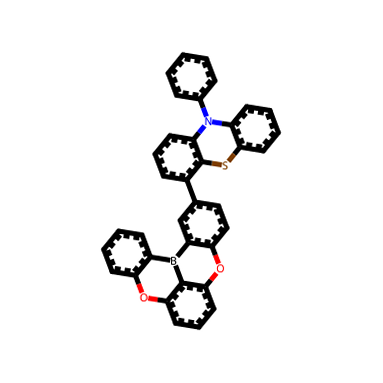 c1ccc(N2c3ccccc3Sc3c(-c4ccc5c(c4)B4c6ccccc6Oc6cccc(c64)O5)cccc32)cc1